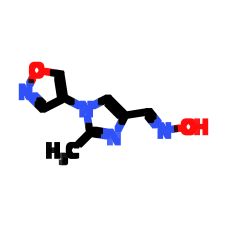 Cc1nc(/C=N/O)cn1-c1cnoc1